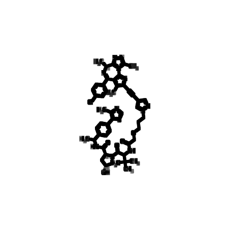 Cc1ncsc1-c1ccc(C(C)NC(=O)[C@@H]2C[C@@H](O)CN2C(=O)C(NC(=O)COCCCn2cc(C#Cc3sc4c(c3C)C(c3ccc(Cl)cc3)=N[C@@H](C)c3nnc(C)n3-4)cn2)C(C)(C)C)cc1